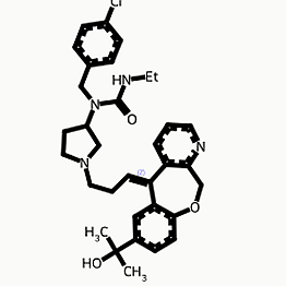 CCNC(=O)N(Cc1ccc(Cl)cc1)C1CCN(CC/C=C2\c3cc(C(C)(C)O)ccc3OCc3ncccc32)C1